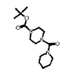 CC(C)(C)OC(=O)N1CCN(C(=O)N2CCCCC2)CC1